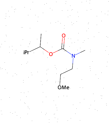 COCCN(C)C(=O)OC(C)C(C)C